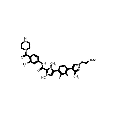 COCCn1cc(-c2ccc(-c3cnc(C(=O)Nc4ccc(C(=O)N5CCNCC5)c(C)c4)n3C)c(F)c2F)c(C)n1.Cl